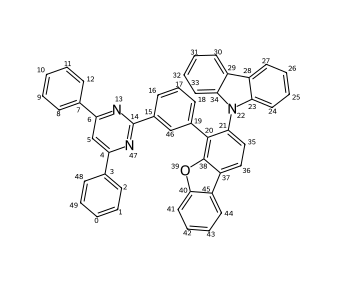 c1ccc(-c2cc(-c3ccccc3)nc(-c3cccc(-c4c(-n5c6ccccc6c6ccccc65)ccc5c4oc4ccccc45)c3)n2)cc1